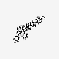 CCN1CCN(c2ccc(S(=O)(=O)N3CC(=O)N(c4cc(-c5ccccc5)sc4C(=O)O)C(C4CCCCC4)C3)cn2)CC1